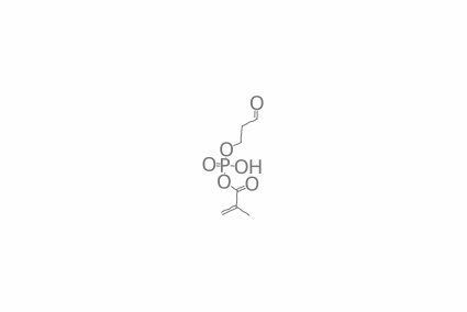 C=C(C)C(=O)OP(=O)(O)OCCC=O